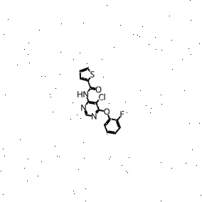 O=C(Nc1ncnc(Oc2ccccc2F)c1Cl)c1cccs1